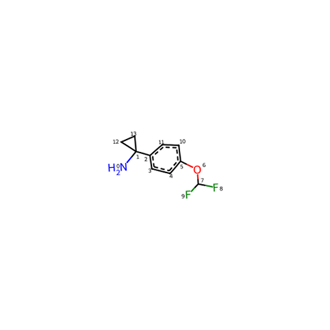 NC1(c2ccc(OC(F)F)cc2)CC1